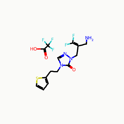 NCC(Cn1ncn(CCc2cccs2)c1=O)=C(F)F.O=C(O)C(F)(F)F